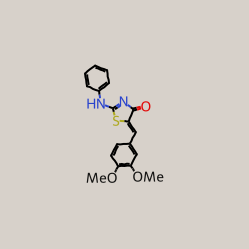 COc1ccc(/C=C2\SC(Nc3ccccc3)=NC2=O)cc1OC